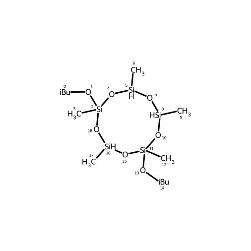 CCC(C)O[Si]1(C)O[SiH](C)O[SiH](C)O[Si](C)(OC(C)CC)O[SiH](C)O1